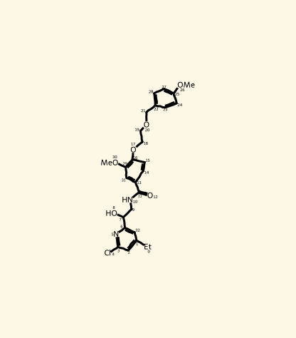 CCc1cc(Cl)nc(C(O)CNC(=O)c2ccc(OCCOCc3ccc(OC)cc3)c(OC)c2)c1